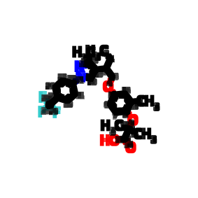 CCC(COc1ccc(OC(C)(C)C(=O)O)c(C)c1)c1cn(-c2ccc(C(F)(F)F)cc2)nc1C